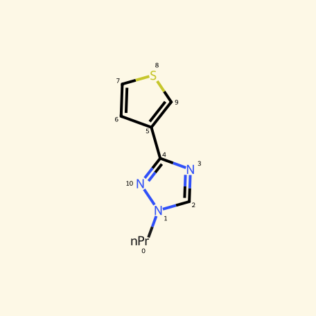 CCCn1cnc(-c2ccsc2)n1